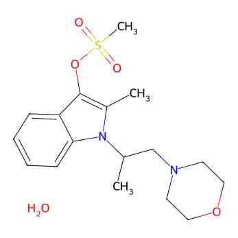 Cc1c(OS(C)(=O)=O)c2ccccc2n1C(C)CN1CCOCC1.O